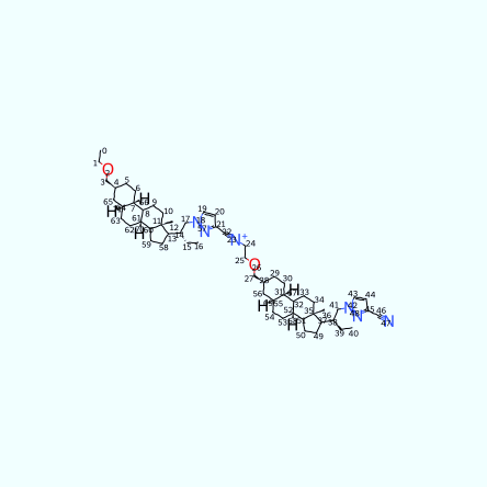 CCOC[C@H]1CC[C@@H]2C3CC[C@]4(C)C([C@@H](CC)Cn5ccc(C#[N+]CCOC[C@H]6CC[C@@H]7C8CC[C@]9(C)C([C@H](CC)Cn%10ccc(C#N)n%10)CCC9[C@@H]8CC[C@@H]7C6)n5)CCC4[C@@H]3CC[C@@H]2C1